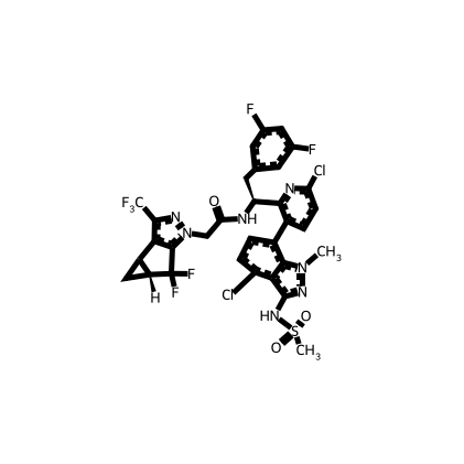 Cn1nc(NS(C)(=O)=O)c2c(Cl)ccc(-c3ccc(Cl)nc3[C@H](Cc3cc(F)cc(F)c3)NC(=O)Cn3nc(C(F)(F)F)c4c3C(F)(F)[C@@H]3CC43)c21